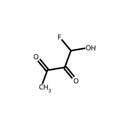 CC(=O)C(=O)C(O)F